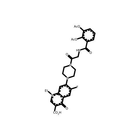 CCn1cc(C(=O)O)c(=O)c2cc(F)c(N3CCN(C(=O)CNC(=O)c4cccc(OC(C)=O)c4OC(C)=O)CC3)cc21